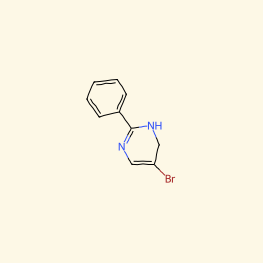 BrC1=CN=C(c2ccccc2)NC1